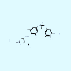 CCOC1O[C@@H](CO)[C@H](COc2c(C(C)(C)C)cc(SC(C)(C)Sc3cc(C(C)(C)C)c(O)c(C(C)(C)C)c3)cc2C(C)(C)C)O1